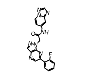 O=C(Cn1ncc2ncc(-c3ccccc3F)nc21)Nc1ccn2ncnc2c1